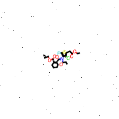 C=CCOC(=O)C1=C(C(=O)N(C(=O)CC)c2c(F)sc(CC(=O)OCC)c2Cl)CCCC1